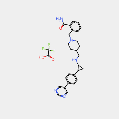 NC(=O)c1ccccc1CN1CCC(CNC2CC2c2ccc(-c3cncnc3)cc2)CC1.O=C(O)C(F)(F)F